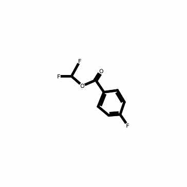 O=C(OC(F)F)c1ccc(F)cc1